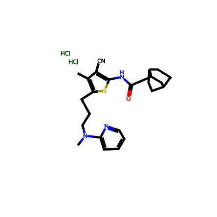 Cc1c(CCCN(C)c2ccccn2)sc(NC(=O)C2CC3CCC2CC3)c1C#N.Cl.Cl